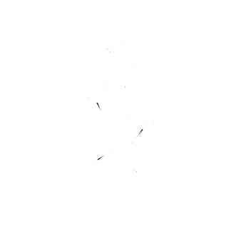 CCN1C[C@H]2C[C@H](Oc3cccnc3)C[C@H]2C1